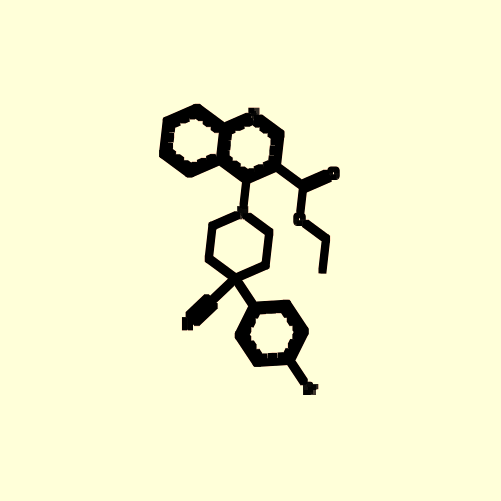 CCOC(=O)c1cnc2ccccc2c1N1CCC(C#N)(c2ccc(Br)cc2)CC1